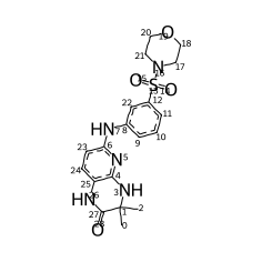 CC1(C)Nc2nc(Nc3cccc(S(=O)(=O)N4CCOCC4)c3)ccc2NC1=O